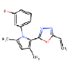 C=Cc1nnc(-c2c(C)[c]c(C)n2-c2cccc(Br)c2)o1